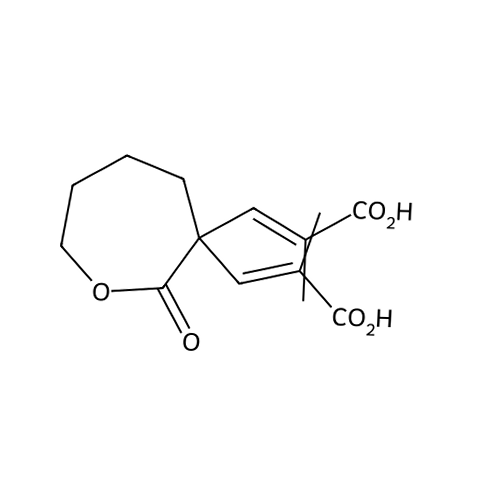 CC(=CC1(C=C(C)C(=O)O)CCCCOC1=O)C(=O)O